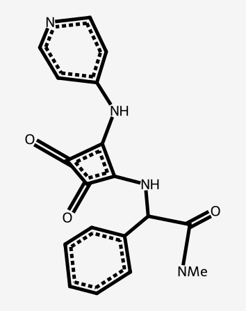 CNC(=O)C(Nc1c(Nc2ccncc2)c(=O)c1=O)c1ccccc1